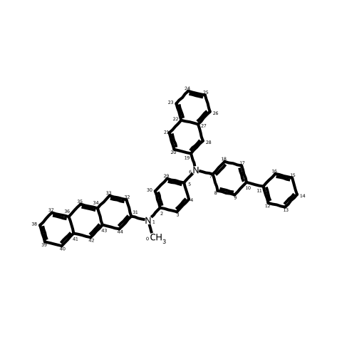 CN(c1ccc(N(c2ccc(-c3ccccc3)cc2)c2ccc3ccccc3c2)cc1)c1ccc2cc3ccccc3cc2c1